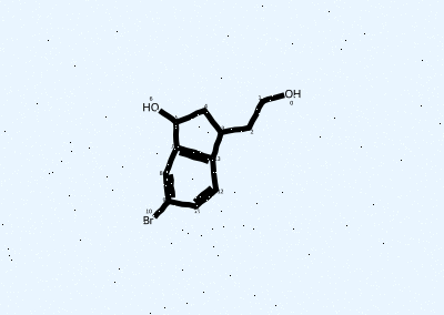 OCCC1CC(O)c2cc(Br)ccc21